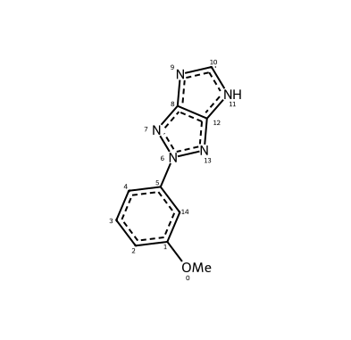 COc1cccc(-n2nc3n[c][nH]c3n2)c1